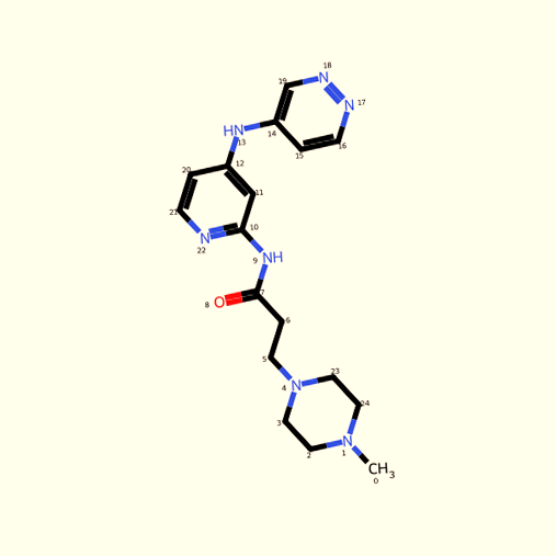 CN1CCN(CCC(=O)Nc2cc(Nc3ccnnc3)ccn2)CC1